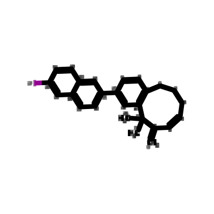 C=C1/C=C\CCCc2ccc(-c3ccc4cc(I)ccc4c3)cc2C1(C)C